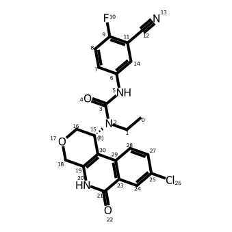 CCN(C(=O)Nc1ccc(F)c(C#N)c1)[C@H]1COCc2[nH]c(=O)c3cc(Cl)ccc3c21